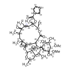 CC[C@H]1OC(=O)[C@H](C)[C@@H](OC2C[C@@](C)(OC)[C@@H](OC(C)=O)[C@H](C)O2)[C@H](C)[C@@H](OC2O[C@H](C)C[C@H](N(C)C)[C@H]2C)[C@@](C)(OC)C[C@@H](C)C(=O)/C(C)=C/[C@]1(C)OC(=O)n1ccnc1